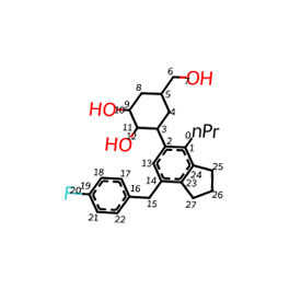 CCCc1c(C2CC(CO)CC(O)C2O)cc(Cc2ccc(F)cc2)c2c1CCC2